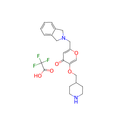 O=C(O)C(F)(F)F.O=c1cc(CN2Cc3ccccc3C2)occ1OCC1CCNCC1